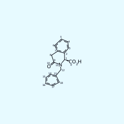 O=C(O)[C@@H]1c2ccccc2CC(=O)N1Cc1ccccc1